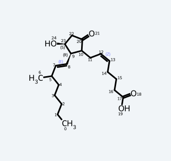 CCCCCC(C)/C=C/[C@@H]1C(C/C=C\CCCC(=O)O)C(=O)C[C@@H]1O